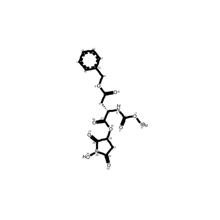 CC(C)(C)OC(=O)N[C@@H](CC(=O)OCc1ccccc1)C(=O)OC1CC(=O)N(O)C1=O